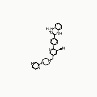 N#Cc1cc(CN2CCN(c3cnccn3)CC2)cnc1-c1ccc(C(=O)Nc2ccccc2N)cc1